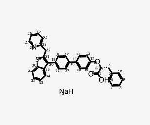 O=C(O)[C@@H](Cc1ccccc1)Oc1ccc(-c2ccc(-c3c(Cc4ccccn4)sc4ccccc34)cc2)cc1.[NaH]